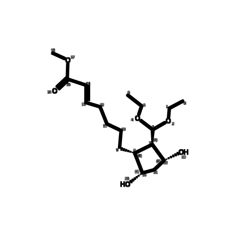 CCOC(OCC)[C@@H]1[C@@H](CCCCC=CC(=O)OC)[C@@H](O)C[C@H]1O